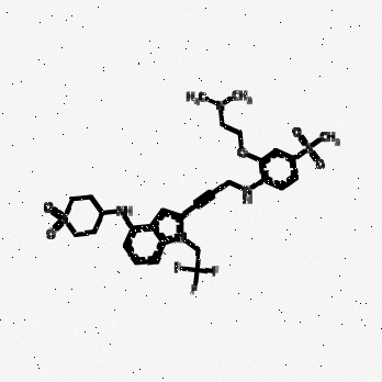 CN(C)CCOc1cc(S(C)(=O)=O)ccc1NCC#Cc1cc2c(NC3CCS(=O)(=O)CC3)cccc2n1CC(F)(F)F